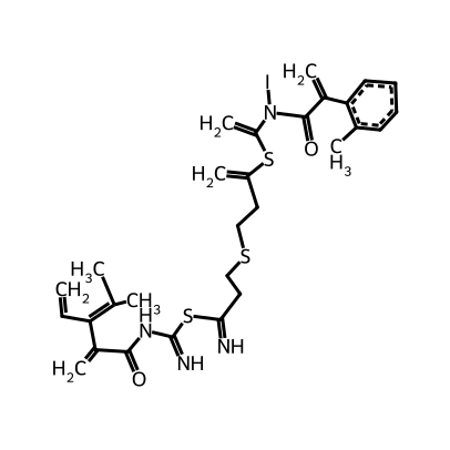 C=CC(C(=C)C(=O)NC(=N)SC(=N)CCSCCC(=C)SC(=C)N(I)C(=O)C(=C)c1ccccc1C)=C(C)C